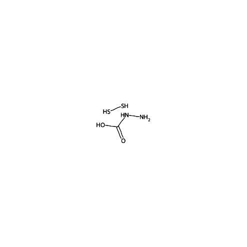 NNC(=O)O.SS